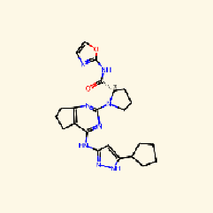 O=C(Nc1ncco1)[C@@H]1CCCN1c1nc2c(c(Nc3cc(C4CCCC4)[nH]n3)n1)CCC2